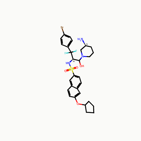 N[C@H]1CCCN(C(O)[C@@H](NS(=O)(=O)c2ccc3cc(OC4CCCC4)ccc3c2)C(F)(F)c2ccc(Br)cc2)C1